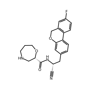 N#C[C@@H](Cc1ccc2c(c1)OCc1cc(F)ccc1-2)NC(=O)[C@@H]1CNCCCO1